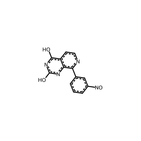 O=Nc1cccc(-c2nccc3c(O)nc(O)nc23)c1